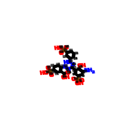 Nc1cc(S(=O)(=O)O)cc(C(N=Nc2ccc(S(=O)(=O)O)cc2C(=O)O)=NNc2cccc(S(=O)(=O)O)c2)c1O